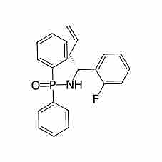 C=CC[C@@H](NP(=O)(c1ccccc1)c1ccccc1)c1ccccc1F